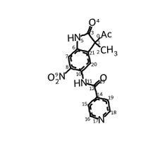 CC(=O)C1(C)C(=O)Nc2cc([N+](=O)[O-])c(NC(=O)c3ccncc3)cc21